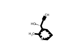 C#C[C@@H](O)c1cccnc1C